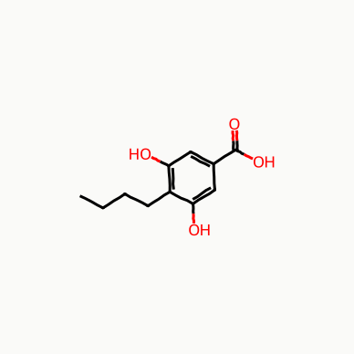 CCCCc1c(O)cc(C(=O)O)cc1O